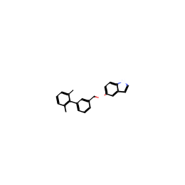 Cc1cccc(C)c1-c1cccc(COc2ccc3[nH]ccc3c2)c1